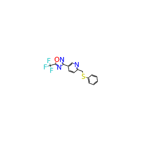 FC(F)(F)c1nc(-c2ccc(CSc3ccccc3)nc2)no1